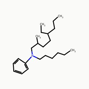 CCCCCCN(CC(C)CCC(CC)CCC)c1ccccc1